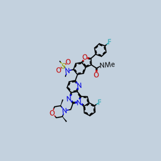 CNC(=O)c1c(-c2ccc(F)cc2)oc2cc(N(C)S(C)(=O)=O)c(-c3ccc4nc(CN5[C@H](C)COC[C@@H]5C)n5c6cccc(F)c6cc5c4n3)cc12